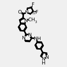 Cn1c(C(=O)N2C[C@@H](F)[C@@H](F)C2)cc2ccc(-c3nccc(Nc4ccc(-c5cn[nH]c5)cc4)n3)cc21